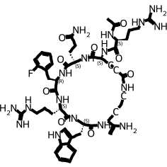 C=C(N)C1CCCNC(=O)CC[C@H](NC(=O)[C@H](CCCNC(=N)N)NC(C)=O)C(=O)N[C@@H](CCC(N)=O)C(=O)N[C@H](Cc2ccccc2F)C(=O)N[C@@H](CCCNC(=N)N)C(=O)N[C@@H](Cc2c[nH]c3ccccc23)C(=O)N1